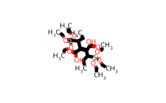 CCO[Si](OCC)(OCC)C(CC)C(C(=O)O)=C(C(=O)O)C(CC)[Si](OCC)(OCC)OCC